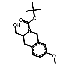 COc1ccc2c(c1)CN(C(=O)OC(C)(C)C)C(CO)C2